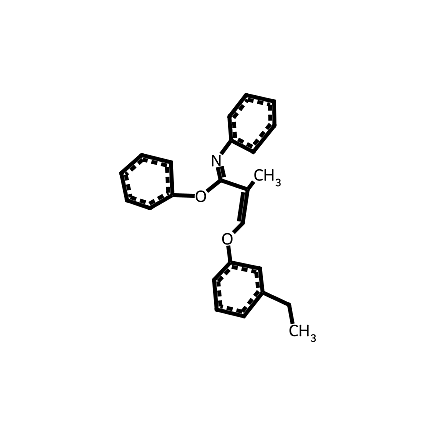 CCc1cccc(OC=C(C)C(=Nc2ccccc2)Oc2ccccc2)c1